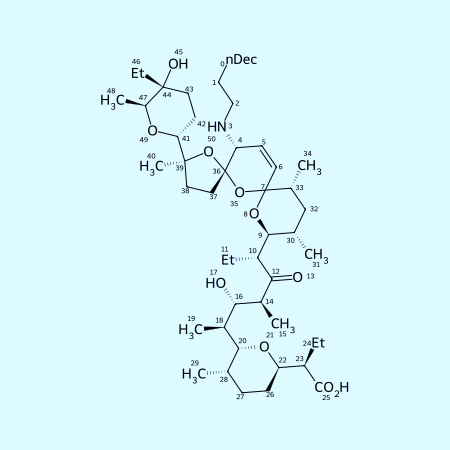 CCCCCCCCCCCCN[C@@H]1C=CC2(O[C@H]([C@@H](CC)C(=O)[C@@H](C)[C@@H](O)[C@H](C)[C@@H]3O[C@@H]([C@@H](CC)C(=O)O)CC[C@@H]3C)[C@@H](C)C[C@H]2C)O[C@@]12CC[C@@](C)([C@H]1CC[C@](O)(CC)[C@H](C)O1)O2